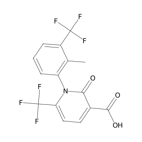 Cc1c(-n2c(C(F)(F)F)ccc(C(=O)O)c2=O)cccc1C(F)(F)F